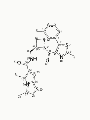 Cc1cccc(-c2sc(C)nc2C(=O)N2CC[C@@H]2CNC(=O)c2nc3scc(C)n3c2C)c1